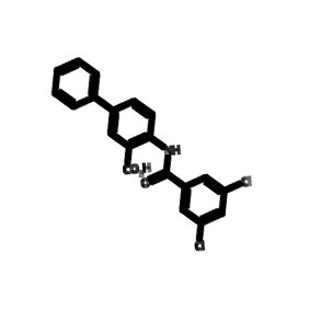 O=C(Nc1ccc(-c2ccccc2)cc1C(=O)O)c1cc(Cl)cc(Cl)c1